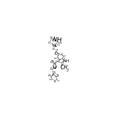 Cc1[nH]c2ccc(OCCN3CCNCC3)cc2c1C(=O)OCc1ccccc1